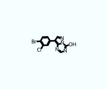 Oc1ncnc2c(-c3ccc(Br)c(Cl)c3)cnn12